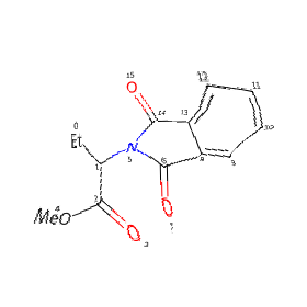 CCC(C(=O)OC)N1C(=O)c2ccccc2C1=O